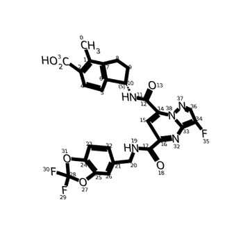 Cc1c(C(=O)O)ccc2c1CC[C@@H]2NC(=O)c1cc(C(=O)NCc2ccc3c(c2)OC(F)(F)O3)nc2c(F)cnn12